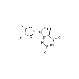 CC[C@H]1O[C@@H](n2cnc3c(Cl)nc(Cl)nc32)CC1C